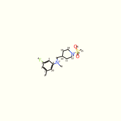 Cc1cc(F)cc(N(C)CC2CCN(S(C)(=O)=O)CC2)c1